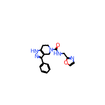 O=C(NCc1ncco1)N1CCc2[nH]nc(-c3ccccc3)c2C1